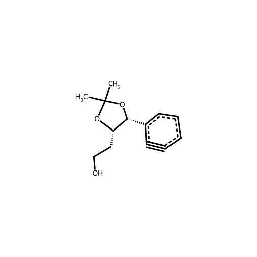 CC1(C)O[C@@H](CCO)[C@@H](c2c#cccc2)O1